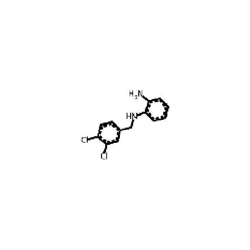 Nc1ccccc1NCc1ccc(Cl)c(Cl)c1